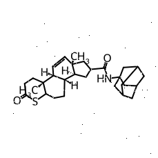 C[C@]12CCC(=O)SC1CC[C@@H]1[C@H]2C=C[C@]2(C)CC(C(=O)NC34CC5CC(CC(C5)C3)C4)C[C@@H]12